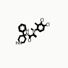 C=C(C(=O)NC1(c2ccccc2)CCNCC1)N(C)c1ccc(Cl)c(Cl)c1C